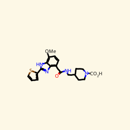 COc1ccc(C(=O)NCC2CCN(C(=O)O)CC2)c2nc(-c3cccs3)[nH]c12